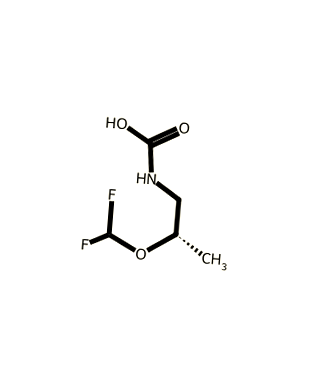 C[C@@H](CNC(=O)O)OC(F)F